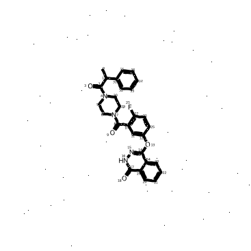 CC(C(=O)N1CCN(C(=O)c2cc(Oc3n[nH]c(=O)c4ccccc34)ccc2F)CC1)c1ccccc1